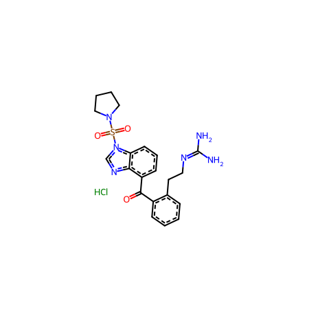 Cl.NC(N)=NCCc1ccccc1C(=O)c1cccc2c1ncn2S(=O)(=O)N1CCCC1